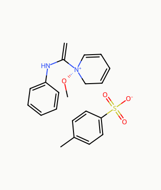 C=C(Nc1ccccc1)[N@@+]1(OC)C=CC=CC1.Cc1ccc(S(=O)(=O)[O-])cc1